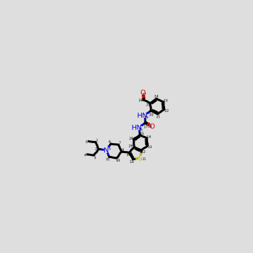 CCC(CC)N1CCC(c2csc3ccc(NC(=O)Nc4ccccc4C=O)cc23)CC1